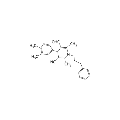 CC1=C(C#N)C(c2ccc(C)c(C)c2)C(C=O)=C(C)N1CCCc1ccccc1